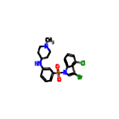 CN1CCC(Nc2cccc(S(=O)(=O)n3cc(Br)c4c(Cl)cccc43)c2)CC1